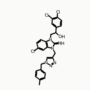 Cc1ccc(Cn2cc(Cn3c(=N)n(CC(O)c4ccc(Cl)c(Cl)c4)c4ccc(Cl)cc43)nn2)cc1